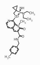 CCN(CC)S(=N)(=O)C1(COc2nccc3cc(C(=O)NCc4ccc(C)cc4)c(=O)n(C)c23)CC1